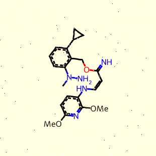 COc1ccc(N/C=C\C(=N)OCc2c(C3CC3)cccc2N(C)N)c(OC)n1